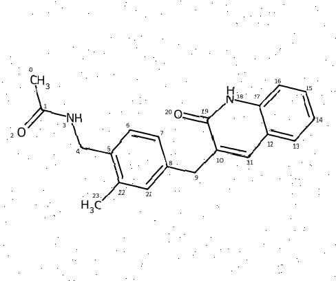 CC(=O)NCc1ccc(Cc2cc3ccccc3[nH]c2=O)cc1C